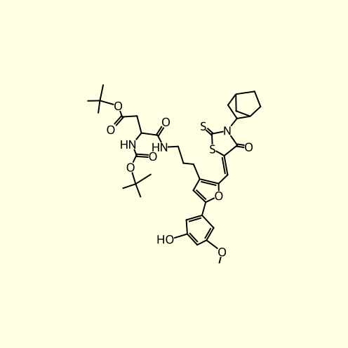 COc1cc(O)cc(-c2cc(CCCNC(=O)C(CC(=O)OC(C)(C)C)NC(=O)OC(C)(C)C)c(/C=C3\SC(=S)N(C4CC5CCC4C5)C3=O)o2)c1